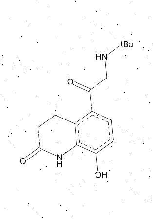 CC(C)(C)NCC(=O)c1ccc(O)c2c1CCC(=O)N2